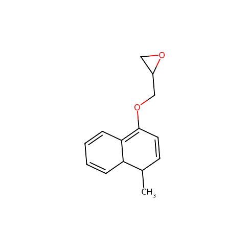 CC1C=CC(OCC2CO2)=C2C=CC=CC21